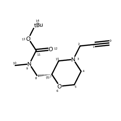 C#CCN1CCO[C@H](CN(C)C(=O)OC(C)(C)C)C1